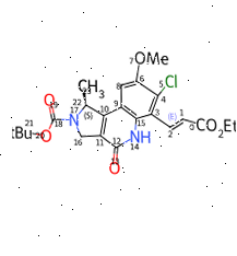 CCOC(=O)/C=C/c1c(Cl)c(OC)cc2c3c(c(=O)[nH]c12)CN(C(=O)OC(C)(C)C)[C@H]3C